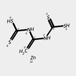 C=C(NC(=S)S)NC(=S)S.[Zn]